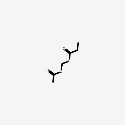 CCC(=O)OCOC(C)=O